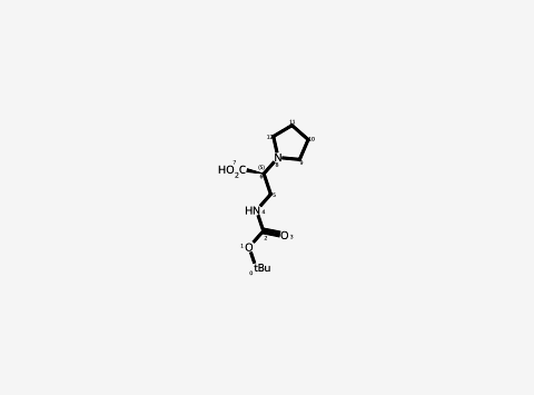 CC(C)(C)OC(=O)NC[C@@H](C(=O)O)N1CCCC1